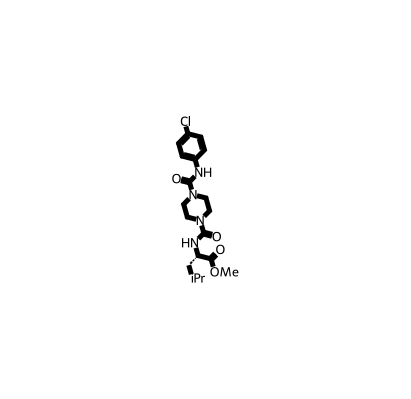 COC(=O)[C@H](CC(C)C)NC(=O)N1CCN(C(=O)Nc2ccc(Cl)cc2)CC1